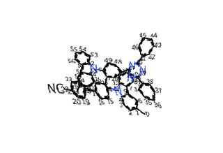 Cc1ccc2c(c1)c1ccccc1n2-c1ccc(-c2ccc(C#N)cc2)cc1-c1cc(-c2nc(-c3ccccc3)nc(-c3ccccc3)n2)ccc1-n1c2ccccc2c2cc(C)ccc21